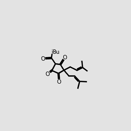 CCC(C)C(=O)C1C(=O)C(=O)C(CC=C(C)C)(CC=C(C)C)C1=O